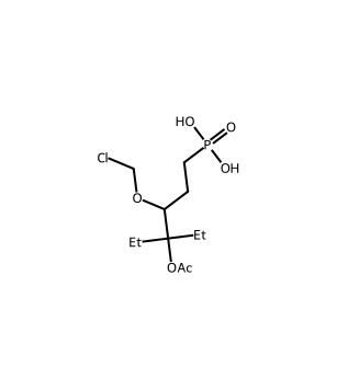 CCC(CC)(OC(C)=O)C(CCP(=O)(O)O)OCCl